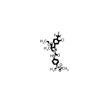 CCOC(=O)C1(C)CN(C(=O)Nc2ccc(N(C)S(C)(=O)=O)cc2)N=C1c1ccc(C(F)(F)F)c(Cl)c1